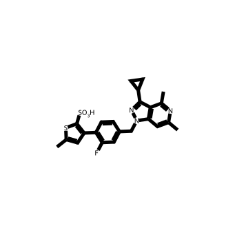 Cc1cc2c(c(C)n1)c(C1CC1)nn2Cc1ccc(-c2cc(C)sc2S(=O)(=O)O)c(F)c1